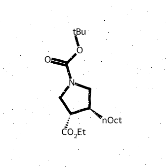 CCCCCCCC[C@@H]1CN(C(=O)OC(C)(C)C)C[C@H]1C(=O)OCC